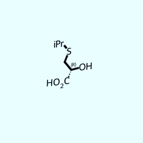 CC(C)SC[C@H](O)C(=O)O